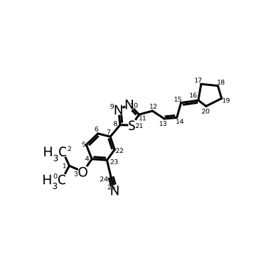 CC(C)Oc1ccc(-c2nnc(C/C=C\C=C3CCCC3)s2)cc1C#N